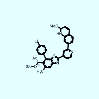 COC1C=Cc2ccc(-c3cc(-c4nc5cc(C)c([C@H](OC(C)(C)C)C(C)=O)c(-c6ccc(Cl)cc6)c5s4)ccn3)cc2N1